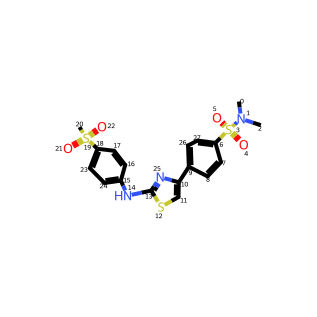 CN(C)S(=O)(=O)c1ccc(-c2csc(Nc3ccc(S(C)(=O)=O)cc3)n2)cc1